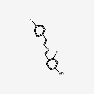 CCCc1ccc(C=NN=Cc2ccc(Cl)cc2)c(F)c1